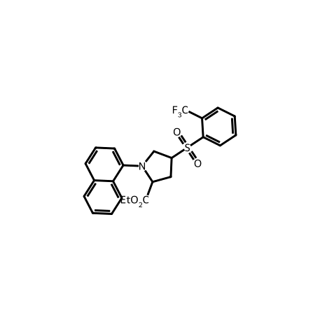 CCOC(=O)C1CC(S(=O)(=O)c2ccccc2C(F)(F)F)CN1c1cccc2ccccc12